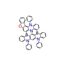 c1ccc(N2c3ccccc3B3c4cccc5c4N4c6c3c2cc2c6B(c3ccccc3N2c2ccccc2)c2cc3oc6ccccc6c3c(c24)N5c2ccccc2)cc1